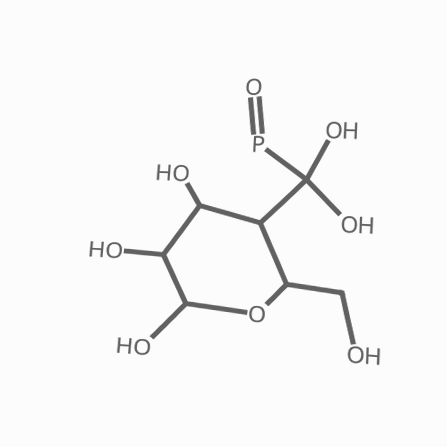 O=PC(O)(O)C1C(CO)OC(O)C(O)C1O